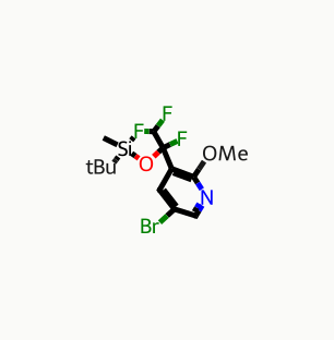 COc1ncc(Br)cc1C(F)(O[Si](C)(C)C(C)(C)C)C(F)F